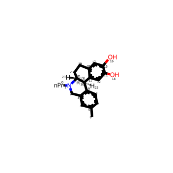 CCCN1Cc2cc(C)ccc2[C@@H]2c3cc(O)c(O)cc3CC[C@H]21